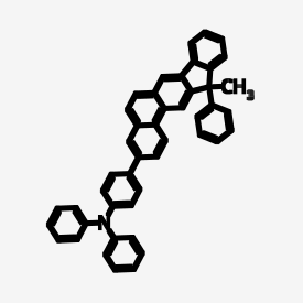 CC1(c2ccccc2)c2ccccc2-c2cc3ccc4cc(-c5ccc(N(c6ccccc6)c6ccccc6)cc5)ccc4c3cc21